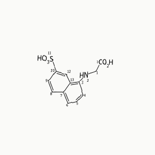 O=C(O)CNc1cccc2ccc(S(=O)(=O)O)cc12